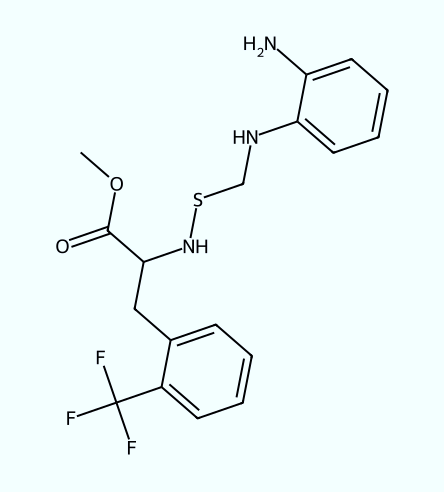 COC(=O)C(Cc1ccccc1C(F)(F)F)NSCNc1ccccc1N